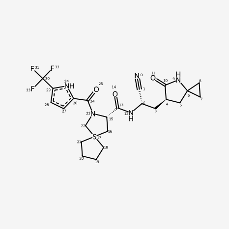 N#C[C@H](C[C@@H]1CC2(CC2)NC1=O)NC(=O)[C@@H]1CS2(CCCC2)CN1C(=O)c1ccc(C(F)(F)F)[nH]1